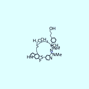 CN/C1=N\C(=N)[C@@](C)(c2cccc(CCCO)c2)CCCC(C)(C)CSCCc2c(c(F)cc3[nH]ccc23)Sc2ccnc1c2